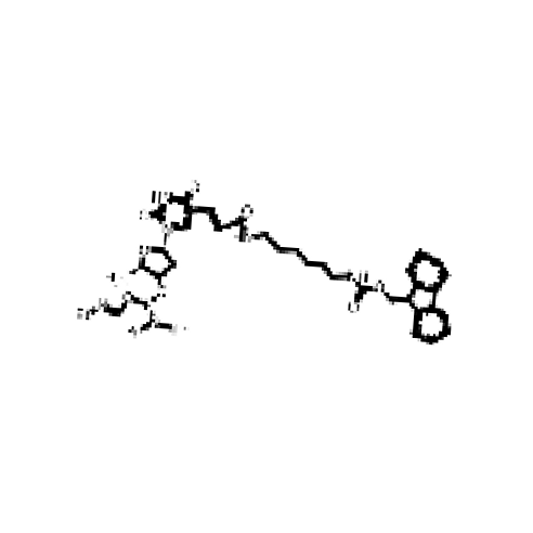 CC/N=C/OP(O[C@@H]1C[C@H](n2cc(/C=C/C(=O)NCCCCCCNC(=O)OCC3c4ccccc4-c4ccccc43)c(=O)[nH]c2=O)O[C@@H]1C)N(C(C)C)C(C)C